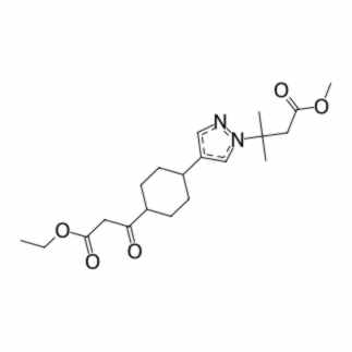 CCOC(=O)CC(=O)C1CCC(c2cnn(C(C)(C)CC(=O)OC)c2)CC1